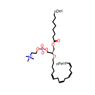 CCCCC/C=C\C/C=C\C/C=C\C/C=C\CCCCO[C@H](COC(=O)CCCCCCCCCCCCCCCCC)COP(=O)([O-])OCC[N+](C)(C)C